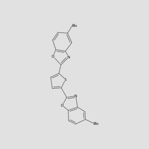 CCC(C)c1ccc2oc(-c3ccc(-c4nc5cc(C(C)CC)ccc5o4)s3)nc2c1